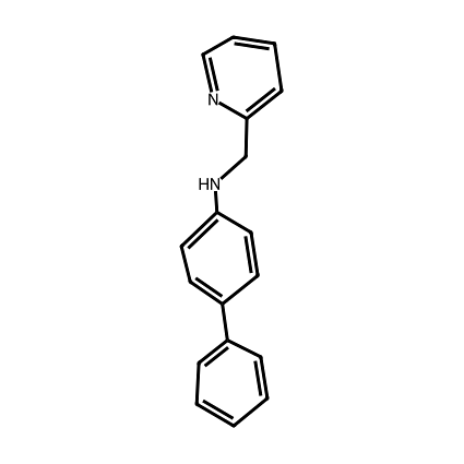 c1ccc(-c2ccc(NCc3ccccn3)cc2)cc1